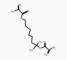 C=C(C)C(=O)OCCCCCCC(C)(C)OC(=O)C(=C)C